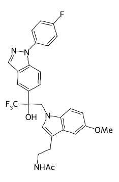 COc1ccc2c(c1)c(CCNC(C)=O)cn2CC(O)(c1ccc2c(cnn2-c2ccc(F)cc2)c1)C(F)(F)F